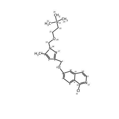 Cc1cc(COc2ccc3c(Cl)nccc3c2)nn1COCC[Si](C)(C)C